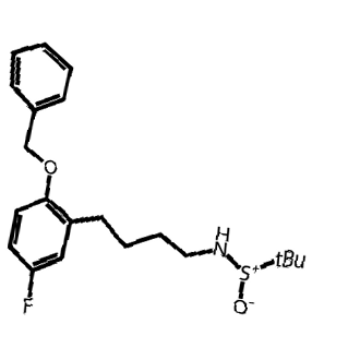 CC(C)(C)[S+]([O-])NCCCCc1cc(F)ccc1OCc1ccccc1